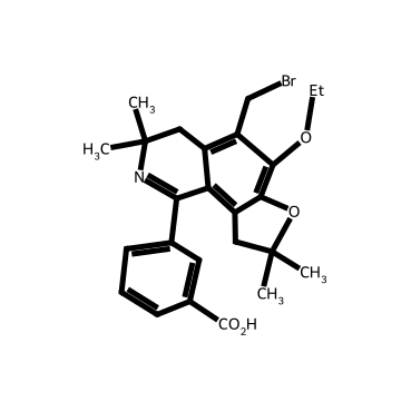 CCOc1c(CBr)c2c(c3c1OC(C)(C)C3)C(c1cccc(C(=O)O)c1)=NC(C)(C)C2